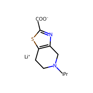 CC(C)N1CCc2sc(C(=O)[O-])nc2C1.[Li+]